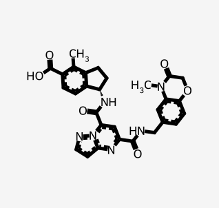 Cc1c(C(=O)O)ccc2c1CC[C@@H]2NC(=O)c1cc(C(=O)NCc2ccc3c(c2)N(C)C(=O)CO3)nc2ccnn12